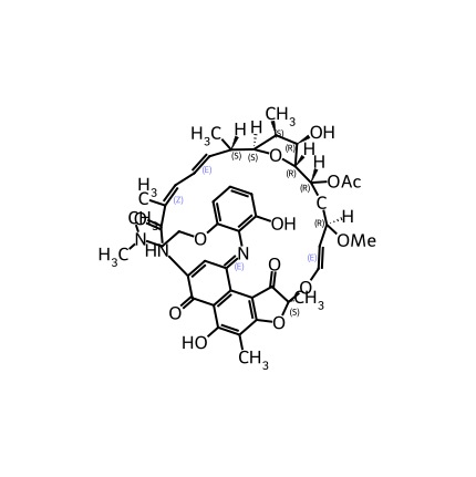 CO[C@H]1/C=C/O[C@@]2(C)Oc3c(C)c(O)c4c(c3C2=O)/C(=N/c2c(O)cccc2OCCN(C)C)C=C(NC(=O)/C(C)=C\C=C\[C@H](C)[C@@H]2O[C@H]([C@H](O)[C@@H]2C)[C@H](OC(C)=O)C1)C4=O